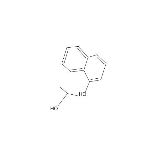 CC(C)O.Oc1cccc2ccccc12